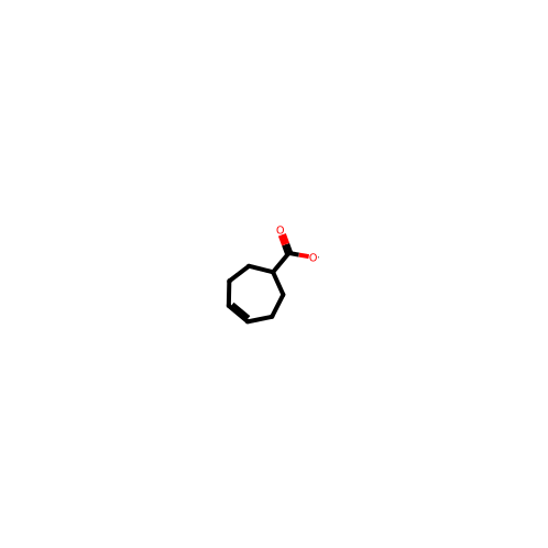 [O]C(=O)C1CCC=CCC1